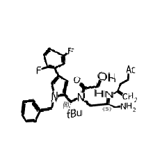 C=C(CCC(C)=O)N[C@@H](CN)CN(C(=O)CO)[C@@H](c1cc(-c2cc(F)ccc2F)cn1Cc1ccccc1)C(C)(C)C